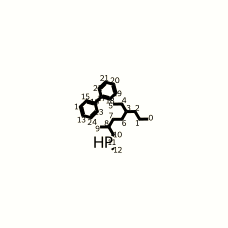 CCCC(CC)CCC(C)CPC.c1ccc(-c2ccccc2)cc1